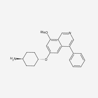 COc1cc(O[C@H]2CC[C@H](N)CC2)cc2c(-c3ccccc3)cncc12